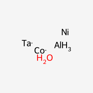 O.[AlH3].[Co].[Ni].[Ta]